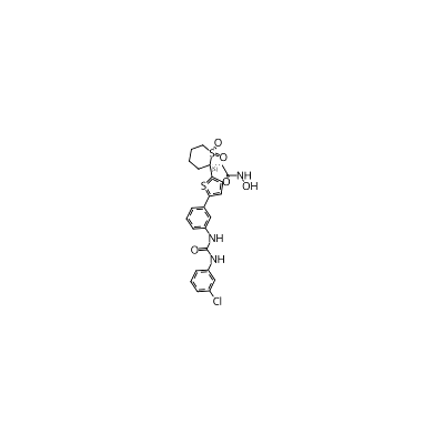 O=C(C[C@]1(c2ccc(-c3cccc(NC(=O)Nc4cccc(Cl)c4)c3)s2)CCCCS1(=O)=O)NO